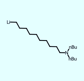 [Li][CH2]CCCCCCCCCN(CCCC)CCCC